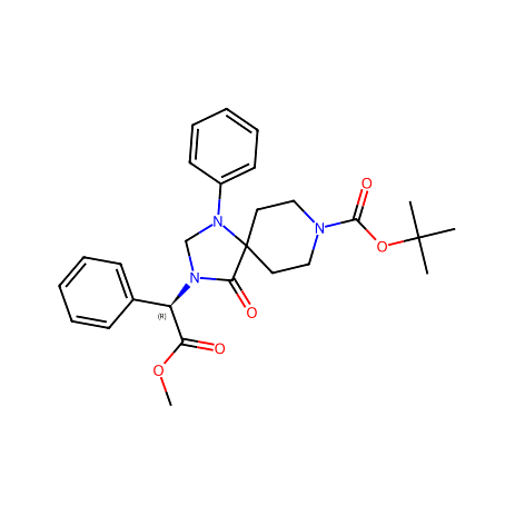 COC(=O)[C@@H](c1ccccc1)N1CN(c2ccccc2)C2(CCN(C(=O)OC(C)(C)C)CC2)C1=O